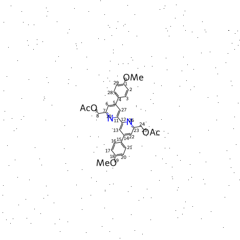 COc1ccc(-c2cc(COC(C)=O)nc(-c3cc(-c4ccc(OC)cc4)cc(COC(C)=O)n3)c2)cc1